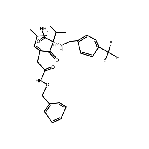 CC(C)C=C(CC(=O)NOCc1ccccc1)C(=O)[C@@](NCc1ccc(C(F)(F)F)cc1)(C(N)=O)C(C)C